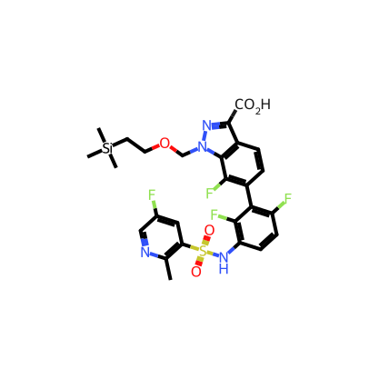 Cc1ncc(F)cc1S(=O)(=O)Nc1ccc(F)c(-c2ccc3c(C(=O)O)nn(COCC[Si](C)(C)C)c3c2F)c1F